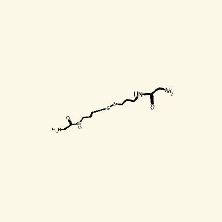 NCC(=O)NCCCSSCCCNC(=O)CN